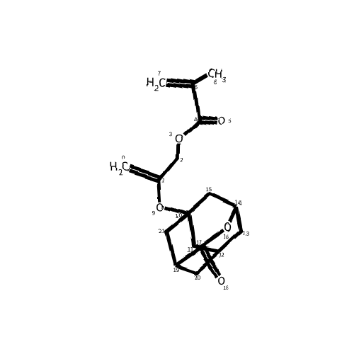 C=C(COC(=O)C(=C)C)OC12CC3CC(C1)OC(=O)C(C3)C2